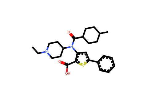 CCN1CCC(N(C(=O)C2CCC(C)CC2)c2cc(-c3ccccc3)sc2C(=O)O)CC1